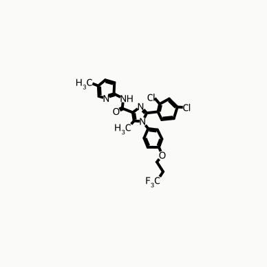 Cc1ccc(NC(=O)c2nc(-c3ccc(Cl)cc3Cl)n(-c3ccc(OCCC(F)(F)F)cc3)c2C)nc1